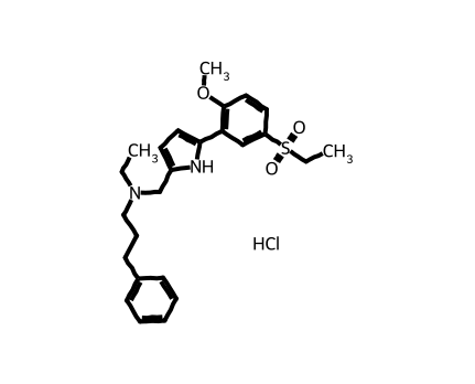 CCN(CCCc1ccccc1)Cc1ccc(-c2cc(S(=O)(=O)CC)ccc2OC)[nH]1.Cl